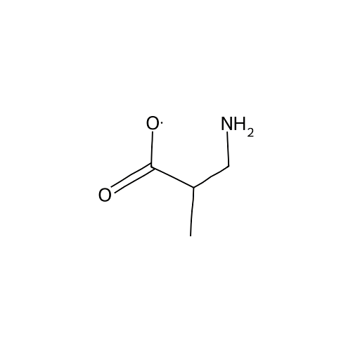 CC(CN)C([O])=O